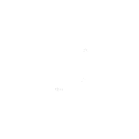 CC(C)(C)C1=[C]([Zr])C(C(C)(C)C)C=C1